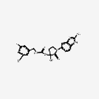 O=C(NCc1cc(F)cc(Cl)c1)OC1(O)CCN(c2ccc3[nH]c(C(F)(F)F)nc3c2)C1=O